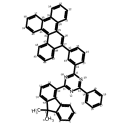 CC1(C)c2ccccc2-c2c(-c3nc(-c4ccccc4)nc(-c4cccc(-c5cc6c7ccccc7c7ccccc7c6c6ccccc56)c4)n3)cccc21